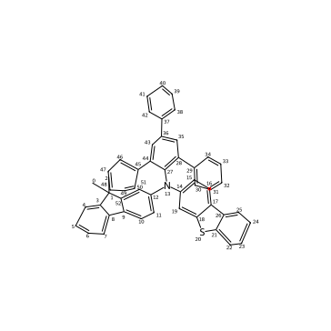 CC1(C)c2ccccc2-c2ccc(N(c3ccc4c(c3)sc3ccccc34)c3c(-c4ccccc4)cc(-c4ccccc4)cc3-c3ccccc3)cc21